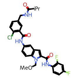 COCn1c(C(=O)Nc2ccc(F)cc2F)cc2cc(NC(=O)c3cc(CNC(=O)C(C)C)ccc3Cl)ccc21